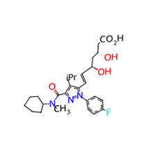 CC(C)c1c(C(=O)N(C)C2CCCCC2)nn(-c2ccc(F)cc2)c1/C=C/[C@H](O)C[C@@H](O)CC(=O)O